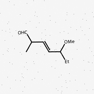 CCC(C=CC(C)C=O)OC